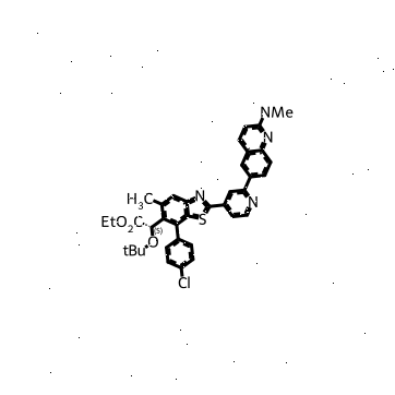 CCOC(=O)[C@@H](OC(C)(C)C)c1c(C)cc2nc(-c3ccnc(-c4ccc5nc(NC)ccc5c4)c3)sc2c1-c1ccc(Cl)cc1